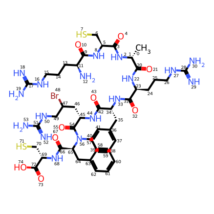 C[C@@H](NC(=O)[C@H](CS)NC(=O)[C@@H](N)CCCNC(=N)N)C(=O)N[C@@H](CCCNC(=N)N)C(=O)N[C@H](Cc1ccccc1)C(=O)N[C@@H](CC(Br)CNC(=N)N)C(=O)N1Cc2ccccc2C[C@H]1C(=O)N[C@@H](CS)C(=O)O